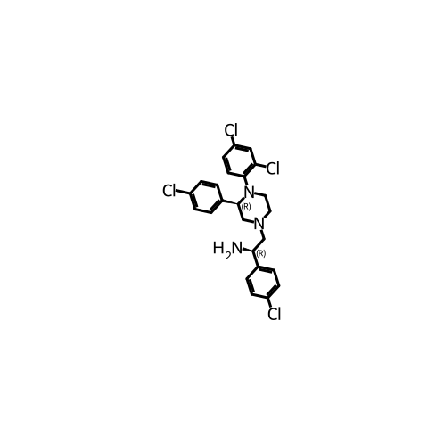 N[C@@H](CN1CCN(c2ccc(Cl)cc2Cl)[C@H](c2ccc(Cl)cc2)C1)c1ccc(Cl)cc1